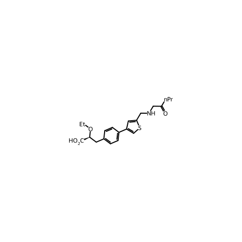 CCCC(=O)CNCc1cc(-c2ccc(C[C@H](OCC)C(=O)O)cc2)cs1